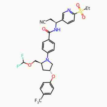 CCS(=O)(=O)c1ccc([C@H](CC#N)NC(=O)c2ccc(N3C[C@H](Oc4ccc(C(F)(F)F)cc4)C[C@H]3COC(F)F)cc2)cn1